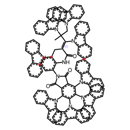 CC(Cn1c2ccccc2c2ccccc21)(/C(=C(\CCn1c2ccccc2c2ccccc21)C(=O)Nc1ccccc1N1C(=O)c2c(c(-n3c4ccccc4c4ccccc43)c(-n3c4ccccc4c4ccccc43)c(-n3c4ccccc4c4ccccc43)c2-n2c3ccccc3c3ccccc32)C1=O)n1c2ccccc2c2ccccc21)n1c2ccccc2c2ccccc21